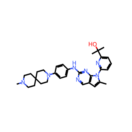 Cc1cc2cnc(Nc3ccc(N4CCC5(CCN(C)CC5)CC4)cc3)nc2n1-c1cccc(C(C)(C)O)n1